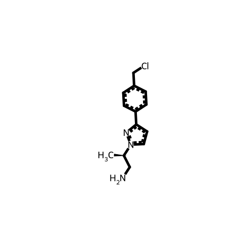 C[C@H](CN)n1ccc(-c2ccc(CCl)cc2)n1